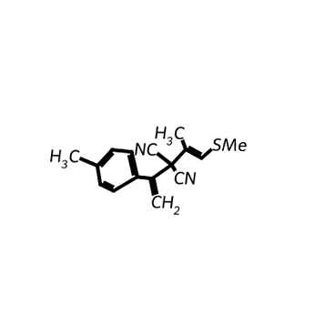 C=C(c1ccc(C)cc1)C(C#N)(C#N)C(C)=CSC